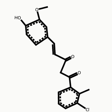 COc1cc(C=CC(=O)CC(=O)c2cccc(Cl)c2C)ccc1O